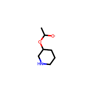 CC([O])OC1CCCNC1